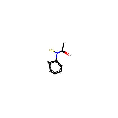 CC(=O)N(S)c1ccccc1